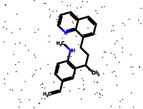 C=Cc1ccc(NC)c(C(C)CCc2cccc3cccnc23)c1